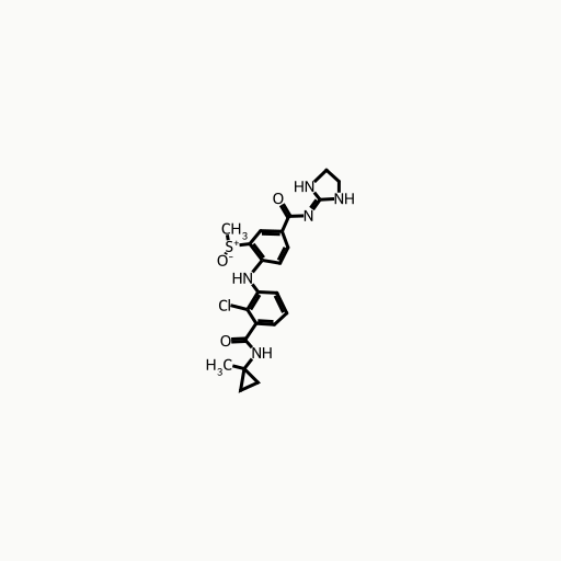 C[S+]([O-])c1cc(C(=O)N=C2NCCN2)ccc1Nc1cccc(C(=O)NC2(C)CC2)c1Cl